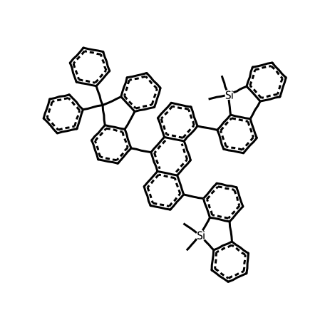 C[Si]1(C)c2ccccc2-c2cccc(-c3cccc4c(-c5cccc6c5-c5ccccc5C6(c5ccccc5)c5ccccc5)c5cccc(-c6cccc7c6[Si](C)(C)c6ccccc6-7)c5cc34)c21